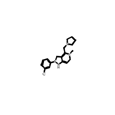 CN1CC=C2NN(c3cccc(Cl)c3)CC2=C1CN1CCCC1